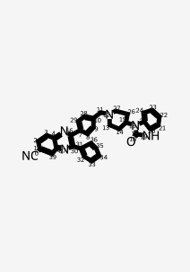 N#Cc1ccc2nc(-c3ccc(CN4CCC(n5c(=O)[nH]c6ccccc65)CC4)cc3)c(-c3ccccc3)nc2c1